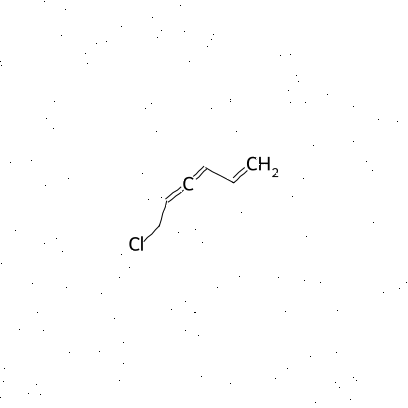 C=CC=C=CCCl